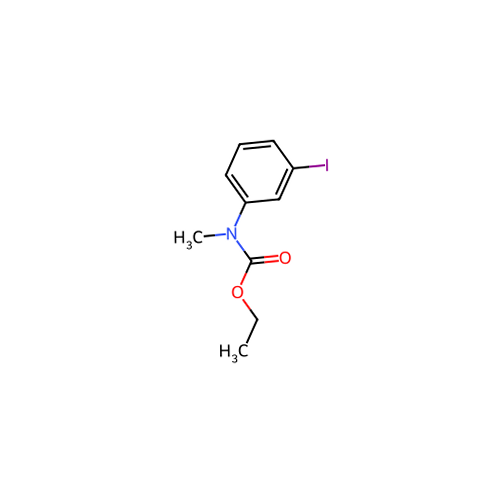 CCOC(=O)N(C)c1cccc(I)c1